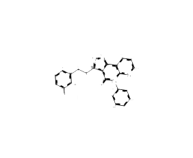 O=C(O)c1cccc(CCc2n[nH]c3c2c(=O)n(-c2ccccc2)c2ncccc32)c1